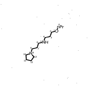 CCCOCCCNCCCN1CCCC1